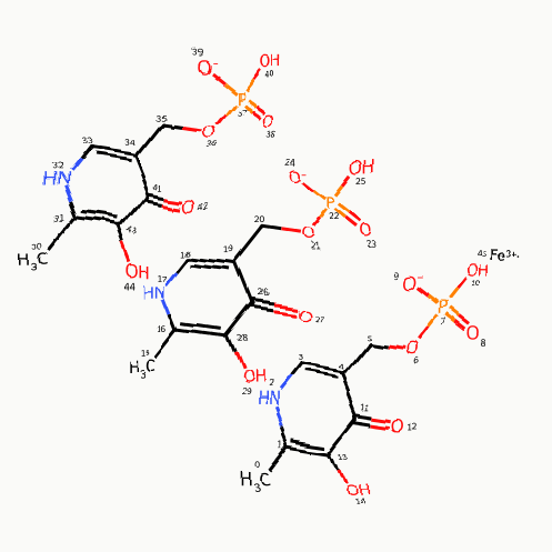 Cc1[nH]cc(COP(=O)([O-])O)c(=O)c1O.Cc1[nH]cc(COP(=O)([O-])O)c(=O)c1O.Cc1[nH]cc(COP(=O)([O-])O)c(=O)c1O.[Fe+3]